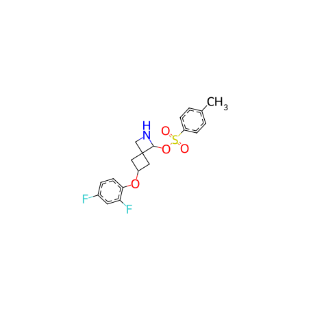 Cc1ccc(S(=O)(=O)OC2NCC23CC(Oc2ccc(F)cc2F)C3)cc1